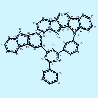 c1ccc(-c2nc(-c3cccc(-n4c5ccccc5c5ccc6c7ccccc7sc6c54)c3)nc(-c3ccc4sc5ccccc5c4c3)n2)cc1